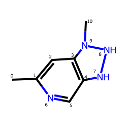 Cc1cc2c(cn1)NNN2C